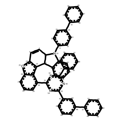 C1=CC2C(c3ccccc3N2c2ccc(-c3ccccc3)cc2)c2c1oc1cccc(-c3nc(-c4ccccc4)nc(-c4cccc(-c5ccccc5)c4)n3)c21